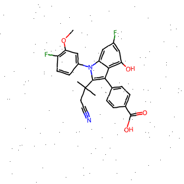 COc1cc(-n2c(C(C)(C)CC#N)c(-c3ccc(C(=O)O)cc3)c3c(O)cc(F)cc32)ccc1F